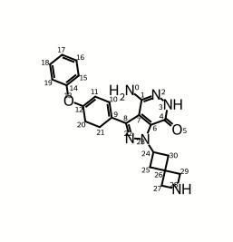 Nc1n[nH]c(=O)c2c1c(C1=CC=C(Oc3ccccc3)CC1)nn2C1CC2(CNC2)C1